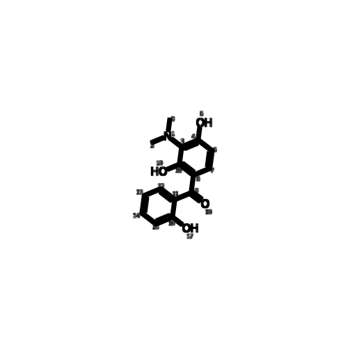 CN(C)c1c(O)ccc(C(=O)c2ccccc2O)c1O